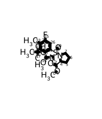 COC(=O)[C@@H]1CCCN1[S@@](=O)(=NC(=O)OC(C)(C)C)c1ccc(C)c(F)c1